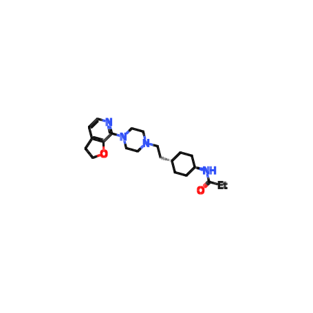 CCC(=O)N[C@H]1CC[C@H](CCN2CCN(c3nccc4c3OCC4)CC2)CC1